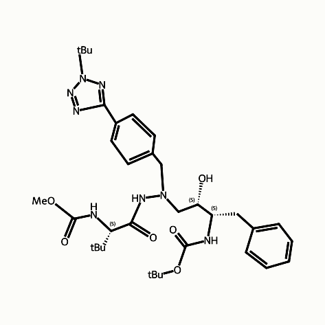 COC(=O)N[C@H](C(=O)NN(Cc1ccc(-c2nnn(C(C)(C)C)n2)cc1)C[C@H](O)[C@H](Cc1ccccc1)NC(=O)OC(C)(C)C)C(C)(C)C